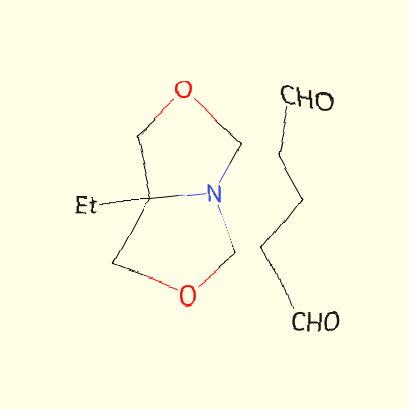 CCC12COCN1COC2.O=CCCCC=O